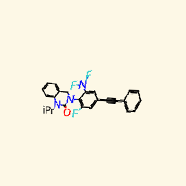 CC(C)N1C(=O)N(c2c(F)cc(C#Cc3ccccc3)cc2N(F)F)Cc2ccccc21